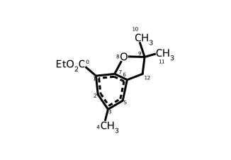 CCOC(=O)c1cc(C)cc2c1OC(C)(C)C2